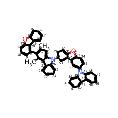 Cc1cc2c(c(C)c1-c1cccc3oc4ccccc4c13)c1ccccc1n2-c1ccc2oc3ccc(-n4c5ccccc5c5ccccc54)cc3c2c1